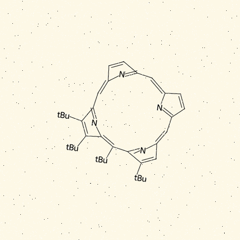 CC(C)(C)C1=CC2=CC3=NC(=CC4=NC(=CC5=NC(=C(C(C)(C)C)C1=N2)C(C(C)(C)C)=C5C(C)(C)C)C=C4)C=C3